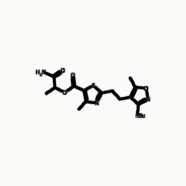 CCCCc1noc(C)c1CCc1nc(C)c(C(=O)OC(C)C(N)=O)s1